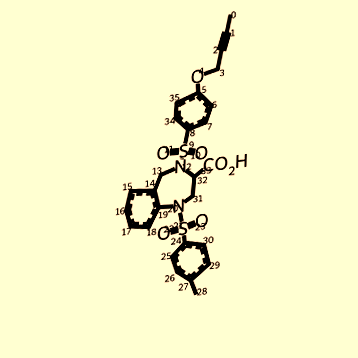 CC#CCOc1ccc(S(=O)(=O)N2Cc3ccccc3N(S(=O)(=O)c3ccc(C)cc3)CC2C(=O)O)cc1